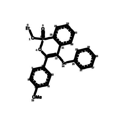 CCOP1(=O)OC(c2ccc(OC)cc2)=C([Se]c2ccccc2)c2ccccc21